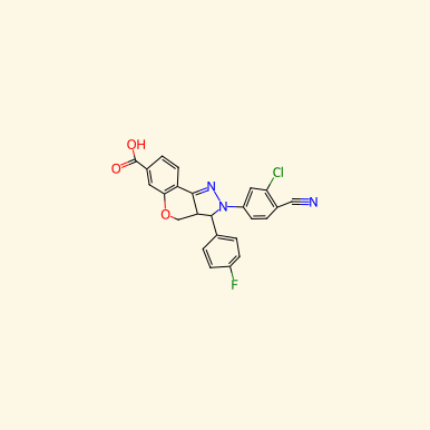 N#Cc1ccc(N2N=C3c4ccc(C(=O)O)cc4OCC3C2c2ccc(F)cc2)cc1Cl